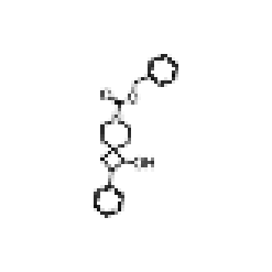 O=C(OCc1ccccc1)N1CCC2(CC1)CC(c1ccccc1)C2O